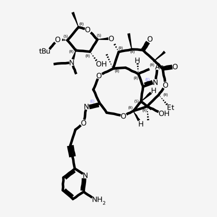 CC[C@H]1OC(=O)[C@H](C)C(=O)[C@H](C)[C@@H](O[C@@H]2O[C@H](C)[C@@H](OC(C)(C)C)[C@H](N(C)C)[C@H]2O)[C@@]2(C)C[C@@H](C)/C(=N\C(C)=O)[C@H](C)[C@@H](OC/C(=N\OCC#Cc3cccc(N)n3)CO2)[C@]1(C)O